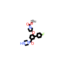 CC(C)(C)OC(=O)N1CC[C@H](Oc2ccc(C(=O)N3CCNCC3)cc2-c2ccc(F)cc2)C1